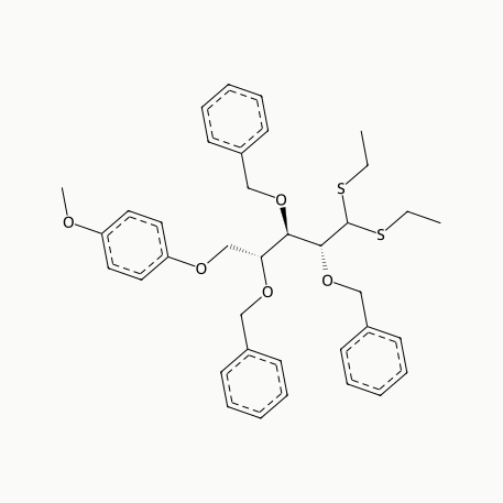 CCSC(SCC)[C@H](OCc1ccccc1)[C@H](OCc1ccccc1)[C@@H](COc1ccc(OC)cc1)OCc1ccccc1